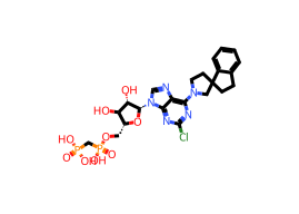 O=P(O)(O)CP(=O)(O)OC[C@H]1O[C@@H](n2cnc3c(N4CCC5(CCc6ccccc65)C4)nc(Cl)nc32)[C@@H](O)C1O